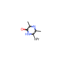 CCCc1[nH]c(=O)c(C)nc1C